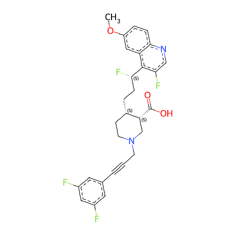 COc1ccc2ncc(F)c([C@@H](F)CC[C@H]3CCN(CC#Cc4cc(F)cc(F)c4)C[C@H]3C(=O)O)c2c1